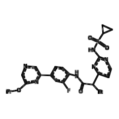 CCC(C(=O)Nc1ccc(-c2cncc(OC(C)C)n2)cc1F)c1ccnc(NS(=O)(=O)C2CC2)n1